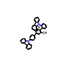 N#Cc1cc(-c2ccc(-n3c4ccccc4c4ccccc43)cc2)cc(C#N)c1-c1ccccc1-n1c2ccccc2c2ccccc21